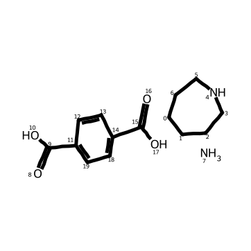 C1CCCNCC1.N.O=C(O)c1ccc(C(=O)O)cc1